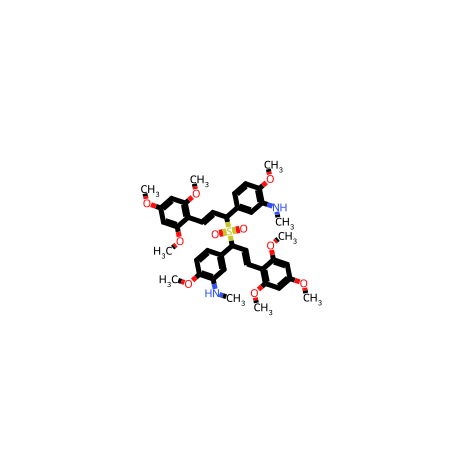 CNc1cc(C(C=Cc2c(OC)cc(OC)cc2OC)S(=O)(=O)C(C=Cc2c(OC)cc(OC)cc2OC)c2ccc(OC)c(NC)c2)ccc1OC